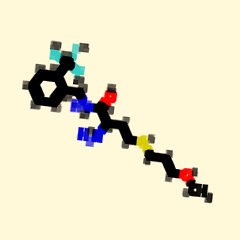 COCCCSCCC(N)C(=O)NCc1ccccc1C(F)(F)F